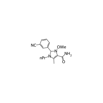 CCCN1C(C)=C(C(N)=O)N(OC)C1c1cccc(C#N)c1